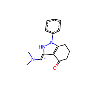 CN(C)/C=C1\NN(c2ccccc2)C2=C1C(=O)CCC2